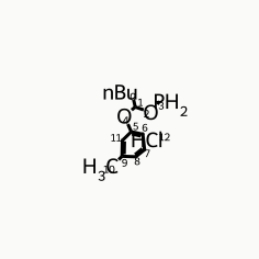 CCCCC(OP)Oc1cccc(C)c1.Cl